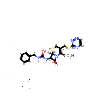 O=C(NCc1ccccc1)NC1C(=O)N2C(C(=O)O)=C(CSc3nccnn3)CS[C@H]12